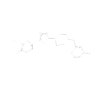 Cn1nc(-c2nnc(N3CCC(Cc4cccc(F)c4)CC3)o2)ccc1=O